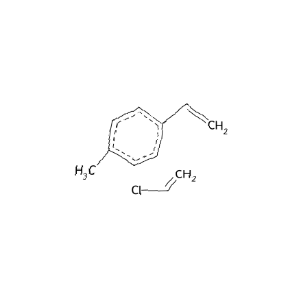 C=CCl.C=Cc1ccc(C)cc1